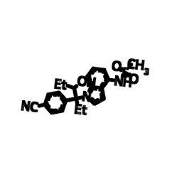 CCC(O)C(CC)(c1ccc(C#N)cc1)n1ccc2c(NS(C)(=O)=O)cccc21